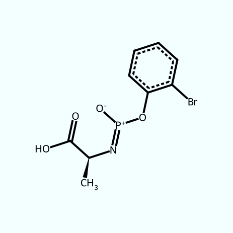 C[C@H](N=[P+]([O-])Oc1ccccc1Br)C(=O)O